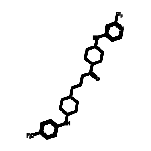 O=C(CCCN1CCC(Nc2ccc(C(F)(F)F)cc2)CC1)N1CCC(Nc2ccnc(C(F)(F)F)c2)CC1